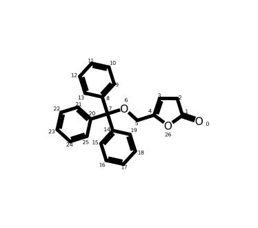 O=C1CC=C(COC(c2ccccc2)(c2ccccc2)c2ccccc2)O1